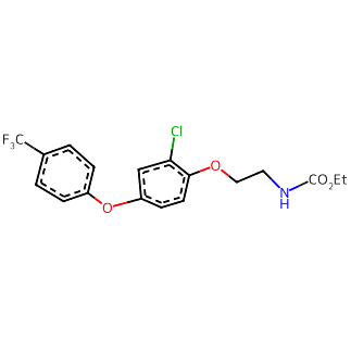 CCOC(=O)NCCOc1ccc(Oc2ccc(C(F)(F)F)cc2)cc1Cl